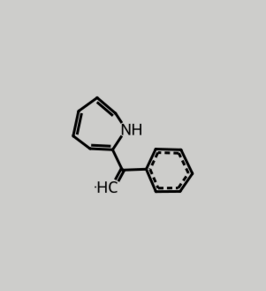 [CH]=C(C1=CC=CC=CN1)c1ccccc1